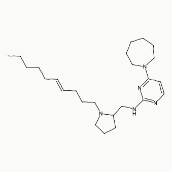 CCCCCC=CCCCN1CCCC1CNc1nccc(N2CCCCCC2)n1